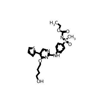 CCOC(=O)N=S(C)(=O)c1ccc(Nc2ncc(-c3cccs3)c(OCCCCO)n2)cc1